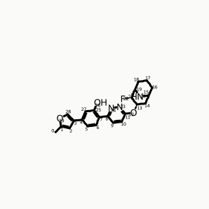 Cc1cc(-c2ccc(-c3ccc(O[C@@H]4CC5CCCC(N5)[C@@H]4F)nn3)c(O)c2)co1